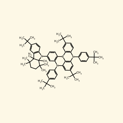 CC(C)(C)c1ccc(N2c3ccc(C(C)(C)C)cc3B3c4ccc(N5c6ccc(C(C)(C)C)cc6C6(C)C(C)(C)CCC(C)(C)C56C)cc4N(c4ccc(C(C)(C)C)cc4)c4cc(C(C)(C)C)cc2c43)cc1